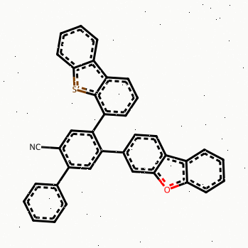 N#Cc1cc(-c2cccc3c2sc2ccccc23)c(-c2ccc3c(c2)oc2ccccc23)cc1-c1ccccc1